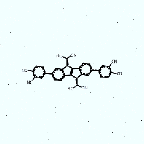 N#CC(C#N)=C1C2=C(C(=C(C#N)C#N)c3cc(-c4ccc(C#N)c(C#N)c4)ccc32)c2ccc(-c3ccc(C#N)c(C#N)c3)cc21